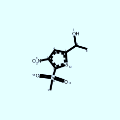 CC(O)c1cc([N+](=O)[O-])c(S(C)(=O)=O)s1